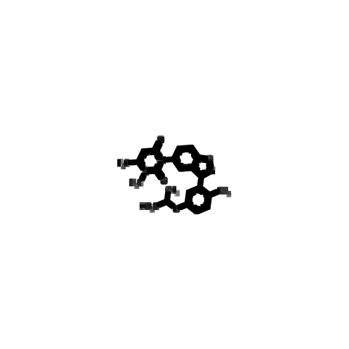 Cc1ccc(OC(C)C(=O)O)cc1-c1noc2ccc(-n3c(=O)cc(C(F)(F)F)n(C)c3=O)cc12